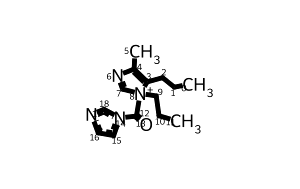 CCCC1=C(C)N=C[N+]1(CCC)C(=O)n1ccnc1